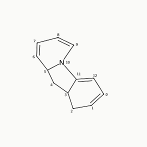 C1=CCC2CC3C=CC=CN3C2=C1